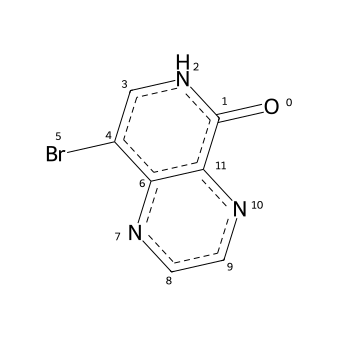 O=c1[nH]cc(Br)c2nccnc12